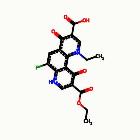 CCOC(=O)c1c[nH]c2c(F)cc3c(=O)c(C(=O)O)cn(CC)c3c2c1=O